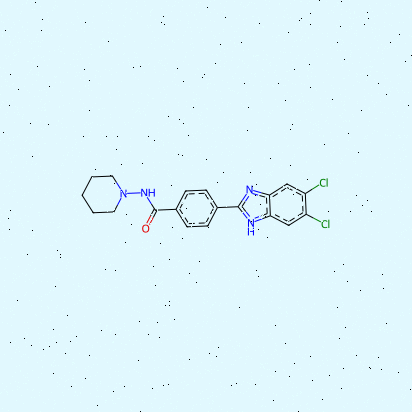 O=C(NN1CCCCC1)c1ccc(-c2nc3cc(Cl)c(Cl)cc3[nH]2)cc1